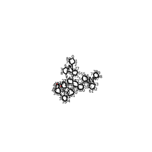 c1ccc(-n2c3ccccc3c3c(-c4cccc5c(-c6cccc7c6-c6ccccc6C76c7ccccc7-c7ccc8ccccc8c76)c6cccc(-c7cccc8c7c7ccccc7n8-c7ccccc7)c6cc45)cccc32)cc1